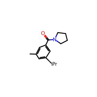 Cc1cc(C(=O)N2CCCC2)cc(C(C)C)c1